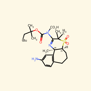 CC(C)(C)CC(C)(C)OC(=O)N(C(=O)O)C1=N[C@]2(C)c3cc(N)ccc3CCC[C@@H]2S(=O)(=O)C1(C)C